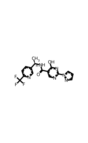 C[C@@H](NC(=O)c1cnc(-n2cccn2)nc1O)c1ccc(C(F)(F)F)nc1